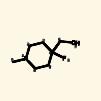 CN1CCC(F)(CO)CC1